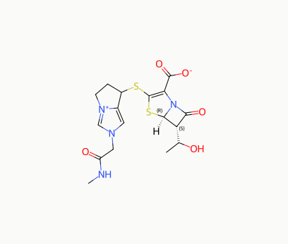 CNC(=O)Cn1cc2[n+](c1)CCC2SC1=C(C(=O)[O-])N2C(=O)[C@H](C(C)O)[C@H]2S1